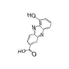 O=C(O)c1ccc2nc3c(O)cccc3nc2c1